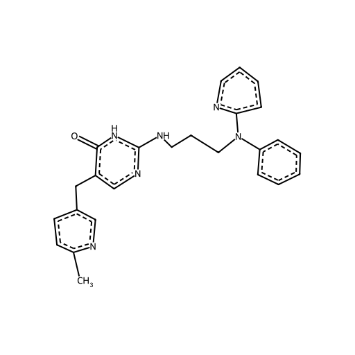 Cc1ccc(Cc2cnc(NCCCN(c3ccccc3)c3ccccn3)[nH]c2=O)cn1